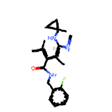 C=N/C(NC1(C)CC1)=C(\C)C(C(=O)NCc1ccccc1F)=C(C)C